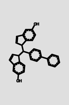 Oc1ccc2c(c1)C=CC2C(c1ccc(-c2ccccc2)cc1)C1C=Cc2cc(O)ccc21